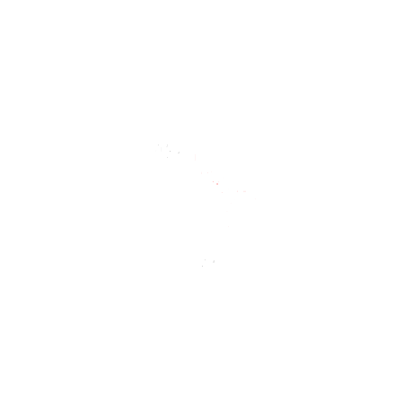 O.O.O.[O-2].[O-2].[O-2].[O-2].[OH-].[OH-].[OH-].[OH-].[Zr+4].[Zr+4].[Zr+4]